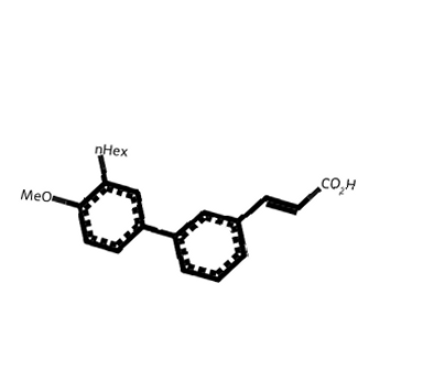 CCCCCCc1cc(-c2cccc(/C=C/C(=O)O)c2)ccc1OC